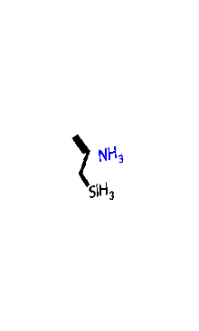 C=CC[SiH3].N